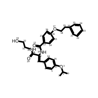 CC(C)Oc1ccc(C=C(NC(=O)c2ccc(OCCc3ccccc3)cc2)C(=O)NCCO)cc1